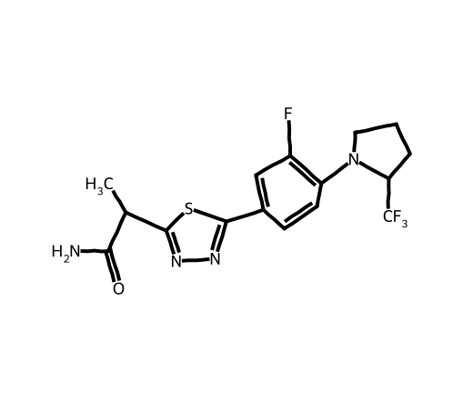 CC(C(N)=O)c1nnc(-c2ccc(N3CCCC3C(F)(F)F)c(F)c2)s1